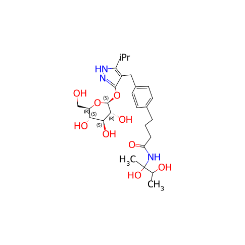 CC(C)c1[nH]nc(O[C@@H]2O[C@H](CO)[C@@H](O)[C@H](O)[C@H]2O)c1Cc1ccc(CCCC(=O)NC(C)(O)C(C)O)cc1